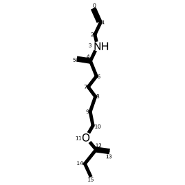 C=CCNC(=C)CCCCCOC(=C)CC